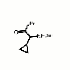 CC(=O)NC(C(=O)C(C)C)C1CC1